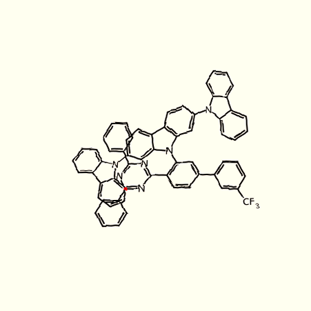 FC(F)(F)c1cccc(-c2ccc(-c3nc(-c4ccccc4)nc(-c4ccccc4)n3)c(-n3c4cc(-n5c6ccccc6c6ccccc65)ccc4c4ccc(-n5c6ccccc6c6ccccc65)cc43)c2)c1